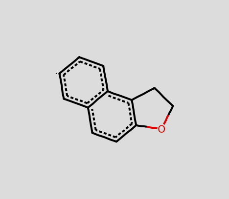 [c]1ccc2c3c(ccc2c1)OCC3